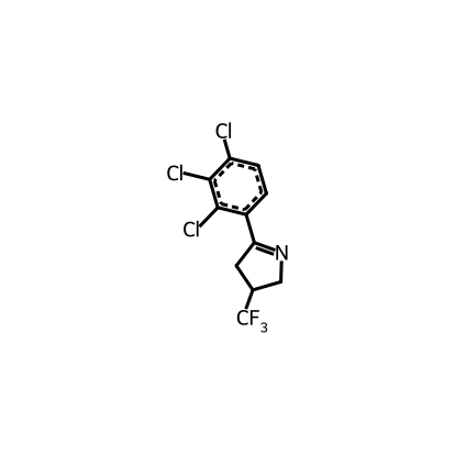 FC(F)(F)C1CN=C(c2ccc(Cl)c(Cl)c2Cl)C1